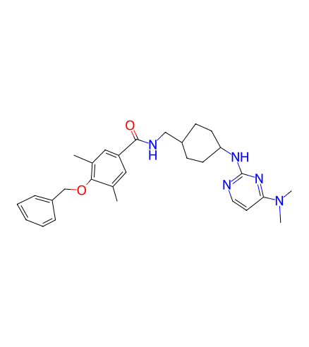 Cc1cc(C(=O)NCC2CCC(Nc3nccc(N(C)C)n3)CC2)cc(C)c1OCc1ccccc1